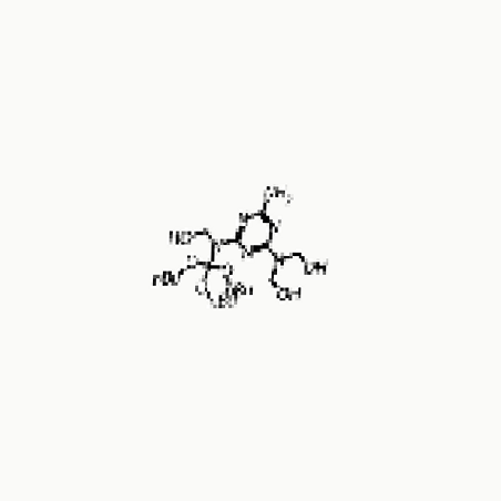 CCCCOC(OCCCC)(OCCCC)N(CO)c1nc(N)nc(N(CO)CO)n1